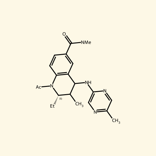 CC[C@H]1C(C)C(Nc2cnc(C)cn2)c2cc(C(=O)NC)ccc2N1C(C)=O